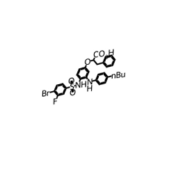 CCCCc1ccc(Nc2cc(OC(Cc3ccccc3)C(=O)O)ccc2NS(=O)(=O)c2ccc(Br)c(F)c2)cc1